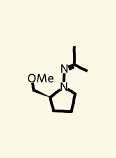 COC[C@@H]1CCCN1N=C(C)C